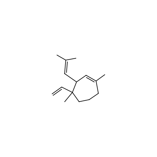 C=CC1(C)CCCC(C)=CC1C=C(C)C